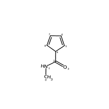 CNC(=O)C1C=CC=C1